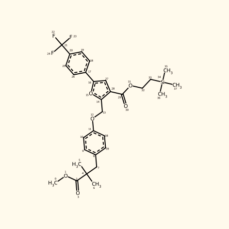 COC(=O)C(C)(C)Cc1ccc(OCc2oc(-c3ccc(C(F)(F)F)cc3)cc2C(=O)OCC[Si](C)(C)C)cc1